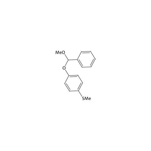 COC(Oc1ccc(SC)cc1)c1ccccc1